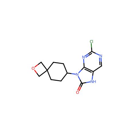 O=c1[nH]c2cnc(Cl)nc2n1C1CCC2(CC1)COC2